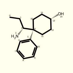 CC[C@@H](N)[C@]1(c2ccccc2)CC[C@@H](O)CC1